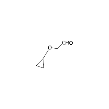 O=CCOC1CC1